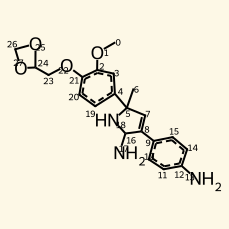 COc1cc(C2(C)C=C(c3ccc(N)cc3)C(N)N2)ccc1OCC1OCO1